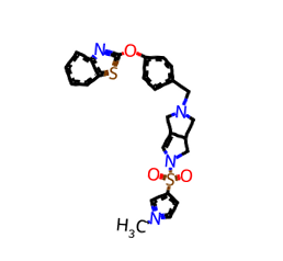 Cn1ccc(S(=O)(=O)N2C=C3CN(Cc4ccc(Oc5nc6ccccc6s5)cc4)CC3C2)c1